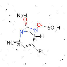 CC(C)C1=C[C@@H](C#N)N2C[C@@H]1N(OS(=O)(=O)O)C2=O.[NaH]